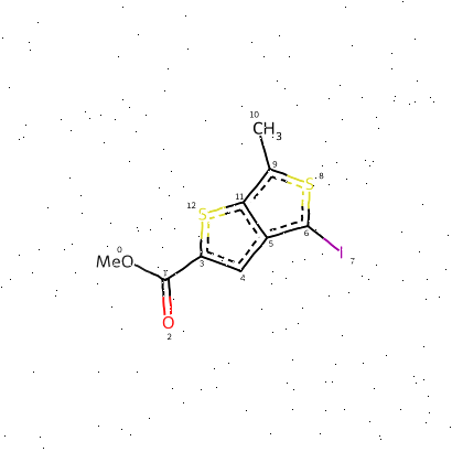 COC(=O)c1cc2c(I)sc(C)c2s1